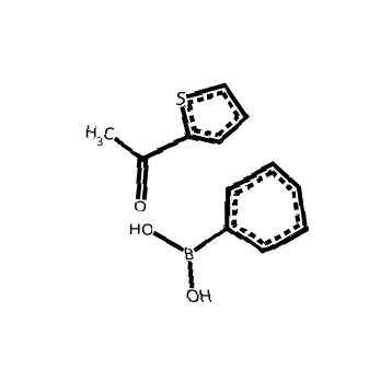 CC(=O)c1cccs1.OB(O)c1ccccc1